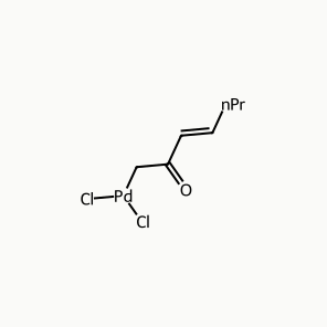 CCCC=CC(=O)[CH2][Pd]([Cl])[Cl]